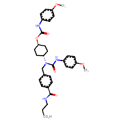 O=C(O)CCNC(=O)c1ccc(CN(C(=O)Nc2ccc(OC(F)(F)F)cc2)[C@H]2CC[C@H](OC(=O)Nc3ccc(OC(F)(F)F)cc3)CC2)cc1